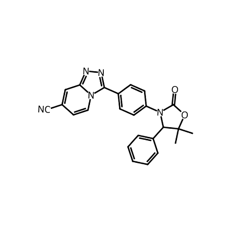 CC1(C)OC(=O)N(c2ccc(-c3nnc4cc(C#N)ccn34)cc2)C1c1ccccc1